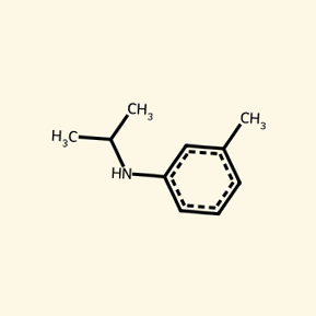 Cc1cccc(NC(C)C)c1